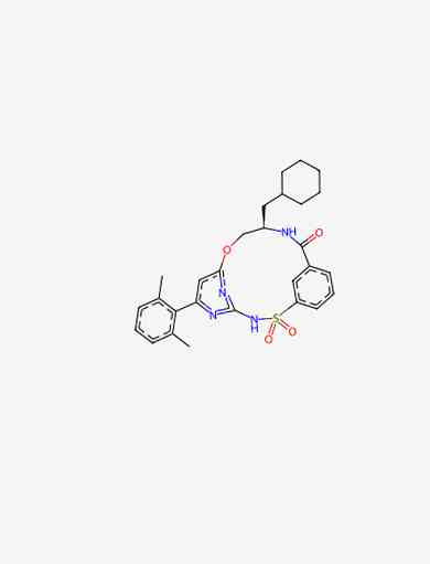 Cc1cccc(C)c1-c1cc2nc(n1)NS(=O)(=O)c1cccc(c1)C(=O)N[C@H](CC1CCCCC1)CO2